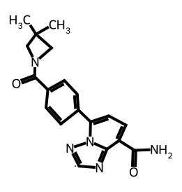 CC1(C)CN(C(=O)c2ccc(-c3ccc(C(N)=O)c4n[c]nn34)cc2)C1